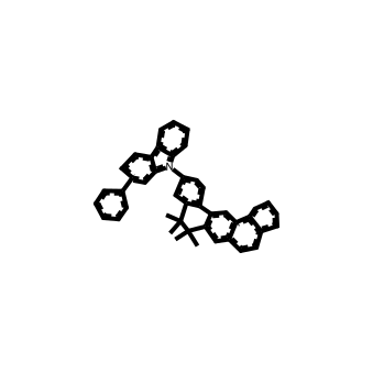 CC1(C)c2cc(-n3c4ccccc4c4ccc(-c5ccccc5)cc43)ccc2-c2cc3c(ccc4ccccc43)cc2C1(C)C